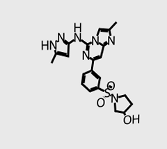 Cc1cn2c(Nc3cc(C)[nH]n3)nc(-c3cccc(S(=O)(=O)N4CCC(O)C4)c3)cc2n1